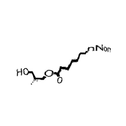 CCCCCCCCCCCCCCCC(=O)OC[C@H](C)CO